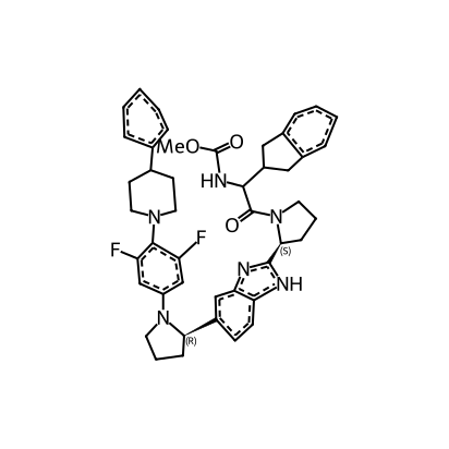 COC(=O)NC(C(=O)N1CCC[C@H]1c1nc2cc([C@H]3CCCN3c3cc(F)c(N4CCC(c5ccccc5)CC4)c(F)c3)ccc2[nH]1)C1Cc2ccccc2C1